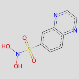 O=S(=O)(c1ccc2nccnc2c1)N(O)O